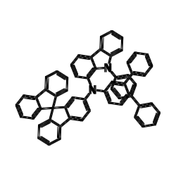 c1ccc(-c2ccc(-n3c4ccccc4c4cccc(N(c5cccc(-c6ccccc6)c5)c5ccc6c(c5)C5(c7ccccc7-c7ccccc75)c5ccccc5-6)c43)cc2)cc1